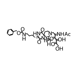 CCCN1C(=O)[C@H](CCCCNC(=O)OCc2ccccc2)NC(=O)C12CCN(C[C@H](NC(C)=O)[C@@H](O)[C@@H](O)[C@H](O)CO)CC2